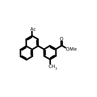 COC(=O)c1cc(C)cc(-c2cc(C(C)=O)cc3ccccc23)c1